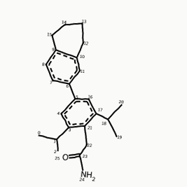 CC(C)c1cc(-c2ccc3c(c2)CCCC3)cc(C(C)C)c1CC(N)=O